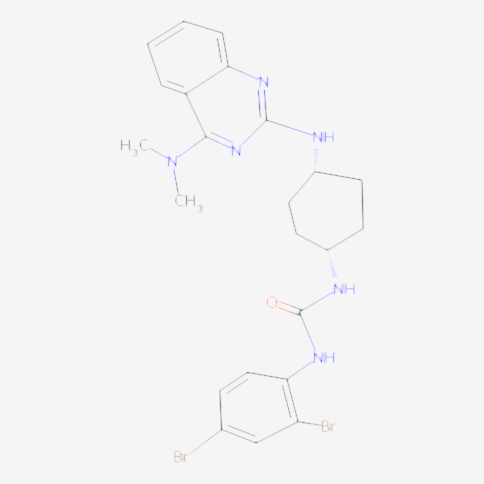 CN(C)c1nc(N[C@H]2CC[C@@H](NC(=O)Nc3ccc(Br)cc3Br)CC2)nc2ccccc12